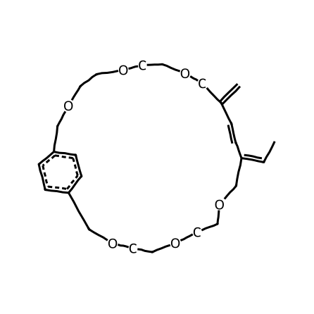 C=C1/C=C\C(=C/C)COCCOCCOCc2ccc(cc2)COCCOCCOC1